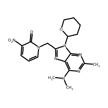 Cc1nc(N(C)C)c2nc(Cn3cccc([N+](=O)[O-])c3=O)n(C3CCCCO3)c2n1